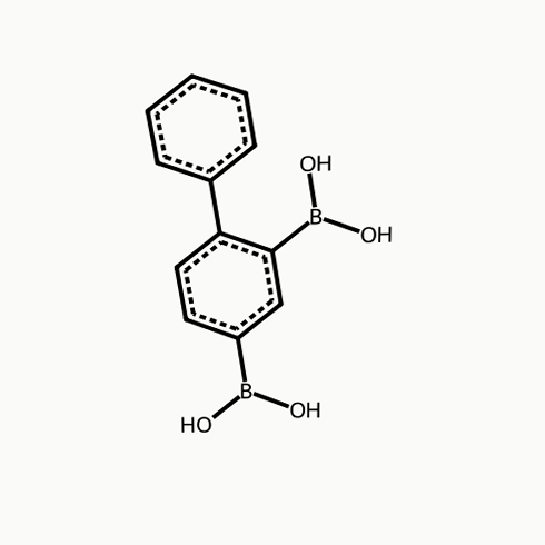 OB(O)c1ccc(-c2ccccc2)c(B(O)O)c1